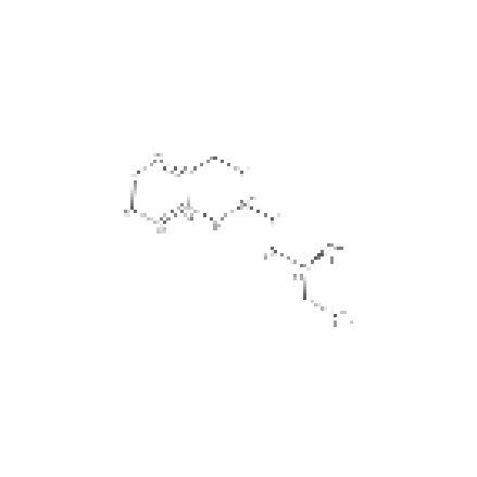 NC[C@H](O)SCN1CCc2ccccc2C1